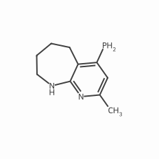 Cc1cc(P)c2c(n1)NCCCC2